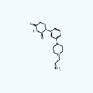 NCCN1CCN(c2cccc(C3CCC(=O)NC3=O)c2)CC1